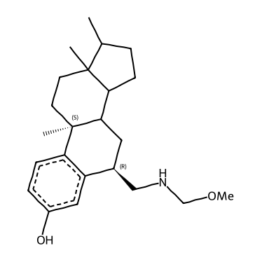 COCNC[C@@H]1CC2C3CCC(C)C3(C)CC[C@]2(C)c2ccc(O)cc21